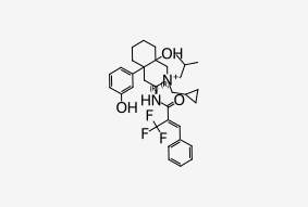 CC(C)C[N@@+]1(CC2CC2)CC2(O)CCCCC2(c2cccc(O)c2)C[C@@H]1NC(=O)C(=Cc1ccccc1)C(F)(F)F